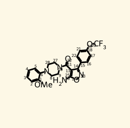 COc1ccccc1N1CCN(C(=O)c2c(-c3ccc(OC(F)(F)F)cc3)noc2N)CC1